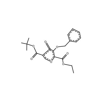 CCOC(=O)c1occ(C(=O)OC(C)(C)C)c(=O)c1OCc1ccccc1